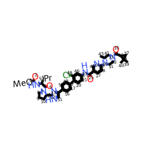 COC(=O)NC(C(=O)N1CCCC1c1nc(-c2ccc(-c3ccc(NC(=O)c4ccc(N5CCN(C(=O)C6CC6(C)C)CC5C)nc4)cc3Cl)cc2)c[nH]1)C(C)C